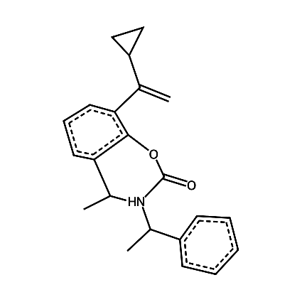 C=C(c1cccc(C(C)C)c1OC(=O)NC(C)c1ccccc1)C1CC1